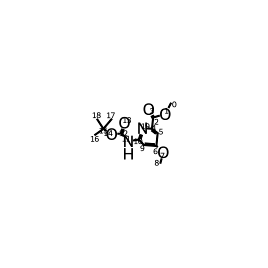 COC(=O)c1cc(OC)cc(NC(=O)OC(C)(C)C)n1